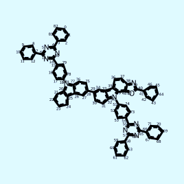 c1ccc(-c2nc(-c3ccccc3)nc(-c3ccc(-n4c5ccccc5c5cc(-c6ccc7c(c6)c6ccc8nc(-c9ccccc9)oc8c6n7-c6ccc(-c7nc(-c8ccccc8)nc(-c8ccccc8)n7)cc6)ccc54)cc3)n2)cc1